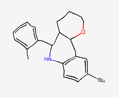 Cc1ccccc1C1Nc2ccc(C(C)(C)C)cc2C2OCCCC12